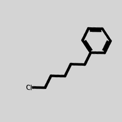 ClCCCCCc1ccccc1